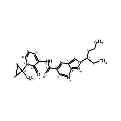 CCCC(CC)n1cc2cc(C(=O)Nc3cccn(C4(C)CC4)c3=O)cnc2n1